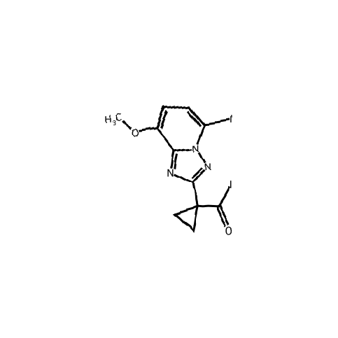 COc1ccc(I)n2nc(C3(C(=O)I)CC3)nc12